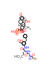 C[C@]12C=CC(=O)C=C1CC[C@@H]1[C@@H]2[C@@H](O)C[C@@]2(C)[C@H]1C[C@H]1O[C@@H](c3ccc(Cc4cc(CO)cc(NC(=O)[C@H](CCC(=O)O)NC(=O)CNC(=O)CBr)c4)cc3)O[C@]12C(=O)COP(=O)(O)O